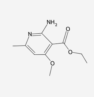 CCOC(=O)c1c(OC)cc(C)nc1N